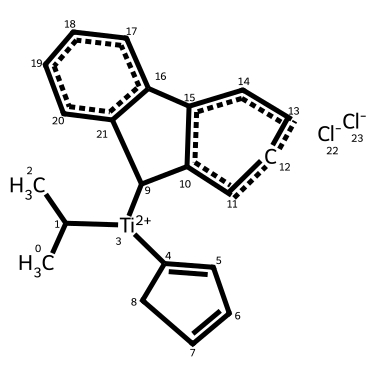 C[CH](C)[Ti+2]([C]1=CC=CC1)[CH]1c2ccccc2-c2ccccc21.[Cl-].[Cl-]